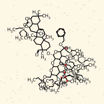 CC[Si](CC)(CC)OCC1O[C@@H](OC2C(O[C@@H]3OCC(O[Si](CC)(CC)CC)C(O[Si](CC)(CC)CC)C3O[Si](CC)(CC)CC)C(O[Si](CC)(CC)CC)C(C(=O)OCc3ccccc3)O[C@H]2O[C@H]2CCC3(C)C(CCC4(C)C3CC=C3C5CC(C)(C)CC[C@]5(C(=O)O)C(O[Si](CC)(CC)CC)CC34C)C2(C)C=O)C(O[Si](CC)(CC)CC)C(O[Si](CC)(CC)CC)C1O[Si](CC)(CC)CC